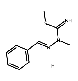 CSC(=N)N(C)/N=C/c1ccccc1.I